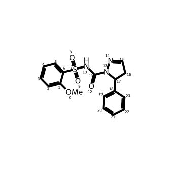 COc1ccccc1S(=O)(=O)NC(=O)N1N=CCC1c1ccccc1